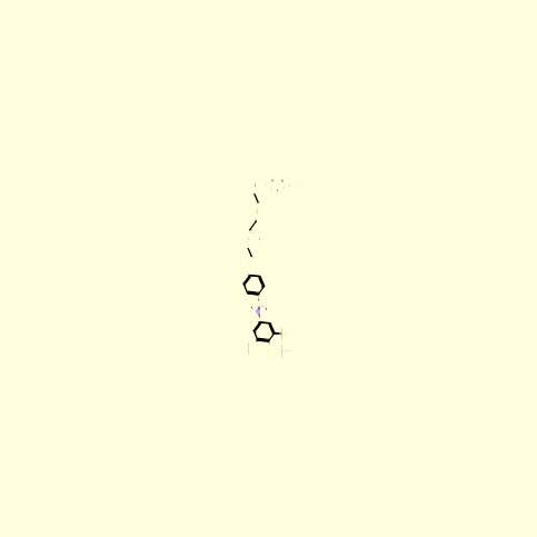 COCCOCCOCCOc1ccc(/N=N/c2cc(F)c(O)c(F)c2)cc1